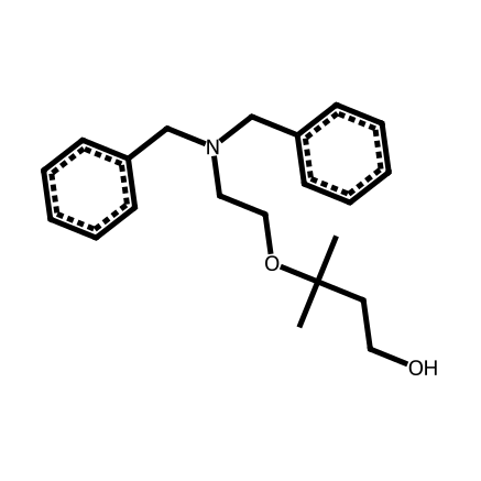 CC(C)(CCO)OCCN(Cc1ccccc1)Cc1ccccc1